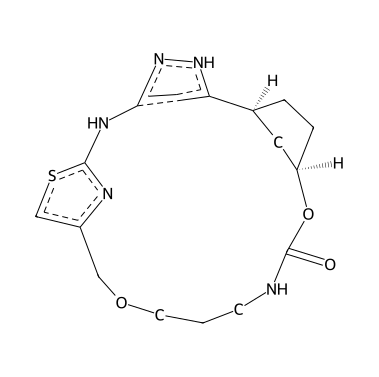 O=C1NCCCOCc2csc(n2)Nc2cc([nH]n2)[C@H]2CC[C@H](C2)O1